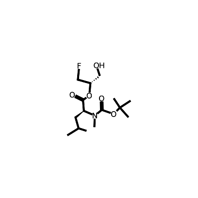 CC(C)C[C@@H](C(=O)O[C@@H](CO)CF)N(C)C(=O)OC(C)(C)C